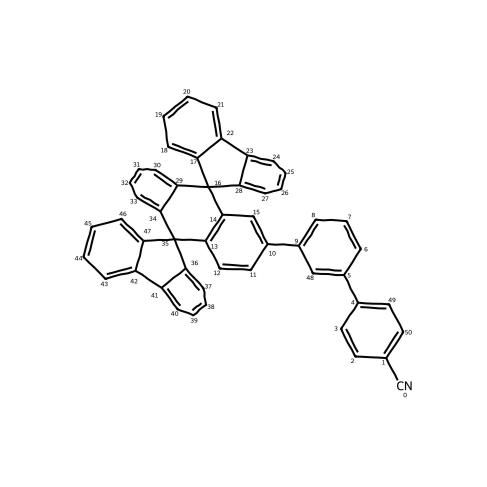 N#Cc1ccc(-c2cccc(-c3ccc4c(c3)C3(c5ccccc5-c5ccccc53)c3ccccc3C43c4ccccc4-c4ccccc43)c2)cc1